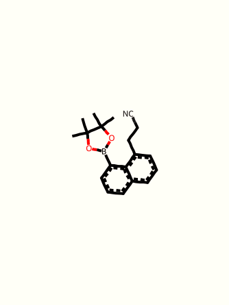 CC1(C)OB(c2cccc3cccc(CCC#N)c23)OC1(C)C